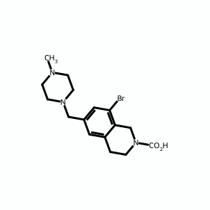 CN1CCN(Cc2cc(Br)c3c(c2)CCN(C(=O)O)C3)CC1